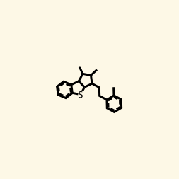 Cc1ccccc1CCC1C(C)C(C)C2c3ccccc3SC12